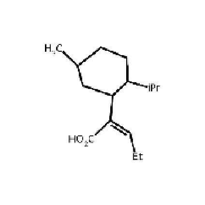 CCC=C(C(=O)O)C1CC(C)CCC1C(C)C